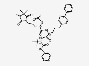 CC(=O)S[C@@H](CCCN1C(=O)N(C)C(C)(C)C1=O)C(=O)N[C@@H](CCCc1ccc(-c2ccccc2)cc1)C(=O)N[C@H](C(=O)Nc1ccncc1)C(C)(C)C